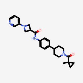 CC1(C(=O)N2CCC(c3ccc(NC(=O)C4CN(c5cccnc5)C4)cc3)CC2)CC1